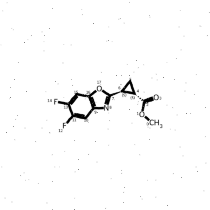 COC(=O)[C@H]1C[C@@H]1c1nc2cc(F)c(F)cc2o1